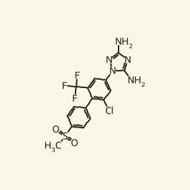 CS(=O)(=O)c1ccc(-c2c(Cl)cc(-n3nc(N)nc3N)cc2C(F)(F)F)cc1